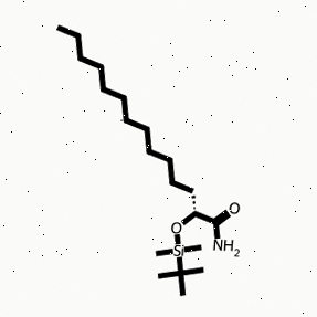 CCCCCC[CH]CCCCC[C@@H](O[Si](C)(C)C(C)(C)C)C(N)=O